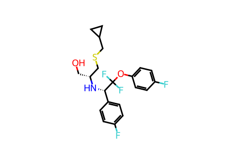 OC[C@H](CSCC1CC1)N[C@@H](c1ccc(F)cc1)C(F)(F)Oc1ccc(F)cc1